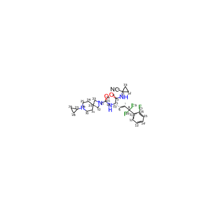 N#CC1(NC(=O)[C@H](CCC(F)(F)c2ccccc2F)NC(=O)N2CC3(CCN(C4CC4)CC3)C2)CC1